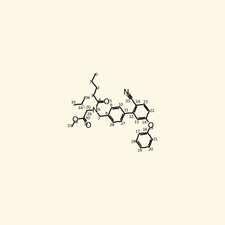 CCCCC(=O)N(Cc1ccc(-c2cc(Oc3ccccc3)ccc2C#N)cc1)[C@H](C(=O)OC)C(C)C